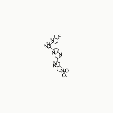 COC(=O)N1CCc2nnc(-c3cnc4ccc(C5=CN=NC5c5ccc(F)c(C)n5)nc4c3)cc2C1